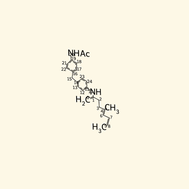 C=C(CC/C(C)=C/C=C\C)Nc1ccc(Cc2ccc(NC(C)=O)cc2)cc1